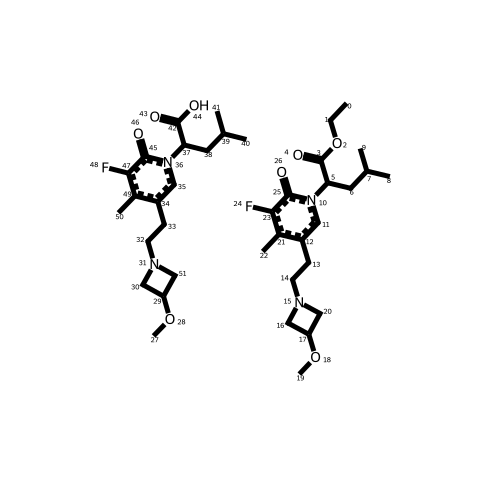 CCOC(=O)C(CC(C)C)n1cc(CCN2CC(OC)C2)c(C)c(F)c1=O.COC1CN(CCc2cn(C(CC(C)C)C(=O)O)c(=O)c(F)c2C)C1